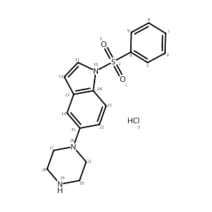 Cl.O=S(=O)(c1ccccc1)n1ccc2cc(N3CCNCC3)ccc21